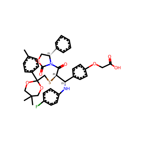 Cc1ccc(C2(CS[C@@H](C(=O)N3C(=O)OC[C@@H]3c3ccccc3)[C@@H](Nc3ccc(F)cc3)c3ccc(OCC(=O)O)cc3)OCC(C)(C)CO2)cc1